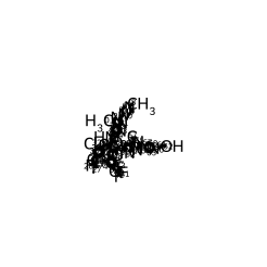 Cc1nc(N2CCN(C)CC2)nc2ncc(NC(=O)C(Oc3ccc(OC(F)(F)F)cc3Cl)C(Oc3ccc(OC(F)(F)F)cc3Cl)C(=O)Nc3cnc4nc(N5CCN(CCO)CC5)nc(C)c4c3)cc12